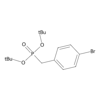 CC(C)(C)OP(=O)(Cc1ccc(Br)cc1)OC(C)(C)C